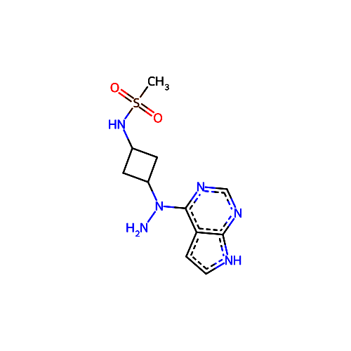 CS(=O)(=O)NC1CC(N(N)c2ncnc3[nH]ccc23)C1